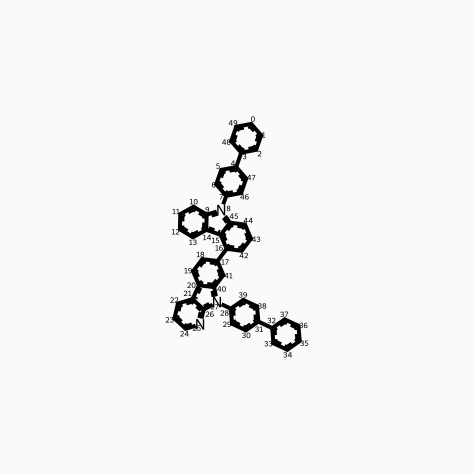 c1ccc(-c2ccc(-n3c4ccccc4c4c(-c5ccc6c7cccnc7n(-c7ccc(-c8ccccc8)cc7)c6c5)cccc43)cc2)cc1